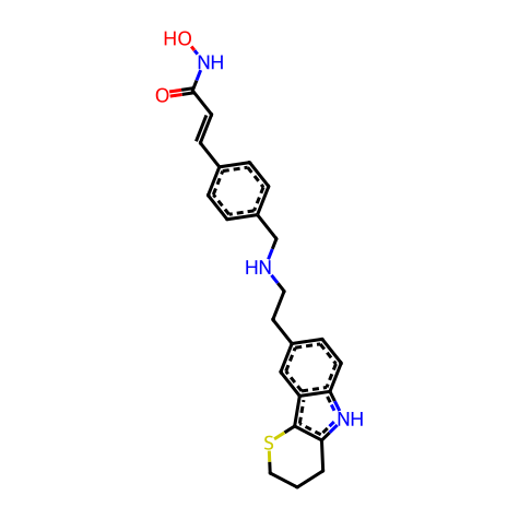 O=C(/C=C/c1ccc(CNCCc2ccc3[nH]c4c(c3c2)SCCC4)cc1)NO